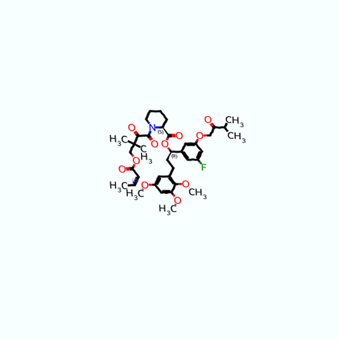 C/C=C\C(=O)OCC(C)(C)C(=O)C(=O)N1CCCC[C@H]1C(=O)O[C@H](CCc1cc(OC)cc(OC)c1OC)c1cc(F)cc(OCC(=O)C(C)C)c1